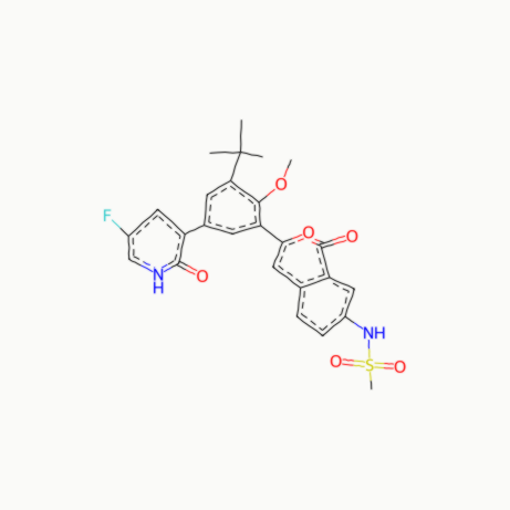 COc1c(-c2cc3ccc(NS(C)(=O)=O)cc3c(=O)o2)cc(-c2cc(F)c[nH]c2=O)cc1C(C)(C)C